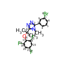 Cn1c(-c2cccc(Br)c2)nnc1C(C)(C)Oc1c(F)cc(F)cc1F